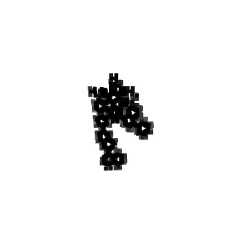 Bc1c(B)c(B)c(-c2nc(-c3cccc(-c4ccc5cc(-c6cccc7ccccc67)ccc5c4)c3)nc(-c3ccc(-c4ccccc4)c4ccccc34)n2)c(-c2ccccc2)c1B